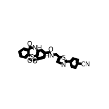 N#Cc1ccc(-c2ncc(CNC(=O)c3ccc4c(c3)NC(=O)c3ccccc3S4(=O)=O)s2)cc1